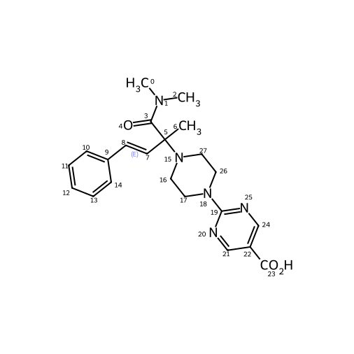 CN(C)C(=O)C(C)(/C=C/c1ccccc1)N1CCN(c2ncc(C(=O)O)cn2)CC1